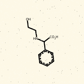 O=C(O)C(NCCO)c1ccccc1